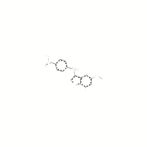 COc1ccc2occ(Nc3ccc([N+](=O)[O-])cc3)c2c1